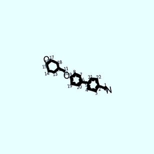 N#Cc1ccc(-c2ccc(OCC3CCC4OC4C3)cc2)cc1